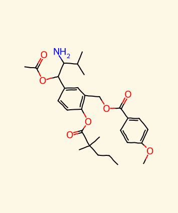 CCCC(C)(C)C(=O)Oc1ccc(C(OC(C)=O)C(N)C(C)C)cc1COC(=O)c1ccc(OC)cc1